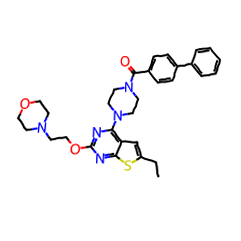 CCc1cc2c(N3CCN(C(=O)c4ccc(-c5ccccc5)cc4)CC3)nc(OCCN3CCOCC3)nc2s1